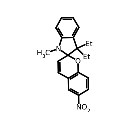 CCC1(CC)c2ccccc2N(C)C12C=Cc1cc([N+](=O)[O-])ccc1O2